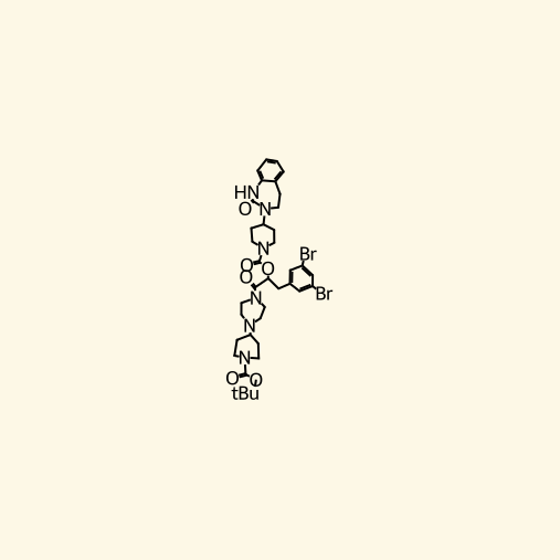 CC(C)(C)OC(=O)N1CCC(N2CCN(C(=O)C(Cc3cc(Br)cc(Br)c3)OC(=O)N3CCC(N4CCc5ccccc5NC4=O)CC3)CC2)CC1